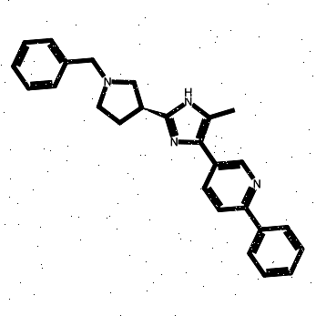 Cc1[nH]c([C@H]2CCN(Cc3ccccc3)C2)nc1-c1ccc(-c2ccccc2)nc1